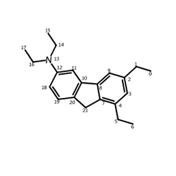 CCc1cc(CC)c2c(c1)-c1cc(N(CC)CC)ccc1C2